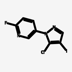 Fc1ccc(-n2ncc(I)c2Cl)cn1